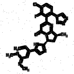 C=C/C(=C\C(=N/C)OC)c1cnc([C@H]2C[C@H](C)c3nc(-c4c(-n5cnnn5)ccc(Cl)c4F)cc(=O)n32)[nH]1